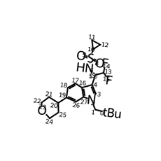 CC(C)(C)Cn1cc([C@H](NS(=O)(=O)C2CC2)C(F)F)c2ccc(C3CCOCC3)cc21